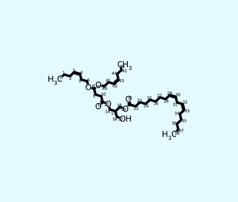 CCC/C=C\CCOC(CCC(=O)OCC(CO)COC(=O)CCCCCCC/C=C\C/C=C\CCCCC)OCC/C=C\CCC